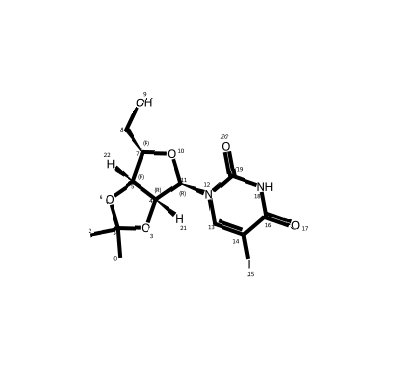 CC1(C)O[C@@H]2[C@H](O1)[C@@H](CO)O[C@H]2n1cc(I)c(=O)[nH]c1=O